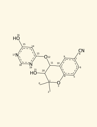 CC1(C)Oc2ccc(C#N)cc2C(Oc2cc(O)ncn2)C1O